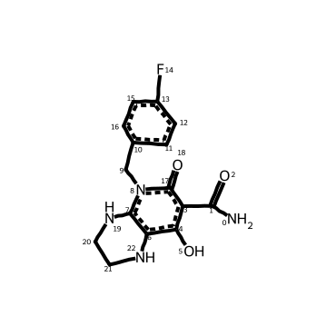 NC(=O)c1c(O)c2c(n(Cc3ccc(F)cc3)c1=O)NCCN2